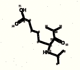 CC(C)NC(CCCCC(=O)O)C(=O)C(C)C